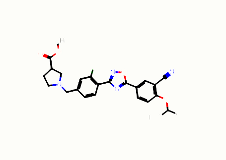 COC(=O)C1CCN(Cc2ccc(-c3noc(-c4ccc(OC(C)C)c(C#N)c4)n3)c(F)c2)C1